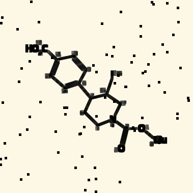 CC(C)(C)OC(=O)N1CCC(c2ccc(C(=O)O)cc2)C(F)C1